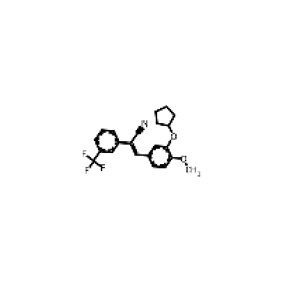 COc1ccc(/C=C(\C#N)c2cccc(C(F)(F)F)c2)cc1OC1CCCC1